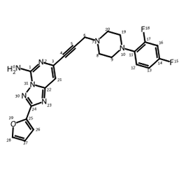 Nc1nc(C#CCN2CCN(c3ccc(F)cc3F)CC2)cc2nc(-c3ccco3)nn12